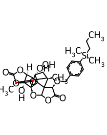 CCC[Si](C)(C)c1ccc(CO[C@H]2C(=O)OC3O[C@@]45C(=O)OC6[C@H](O)[C@@H](C)C32C64[C@@H](O)[C@@H]2OC(=O)[C@@H](C)[C@@]25O)cc1